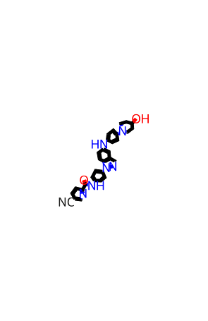 N#Cc1ccc(C(=O)Nc2ccc(-n3ncc4cc(Nc5ccc(N6CCC(O)CC6)cc5)ccc43)cc2)nc1